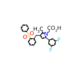 Cc1c(Cc2ccccc2S(=O)(=O)c2ccccc2)cc(-c2cc(F)cc(F)c2)n1CC(=O)O